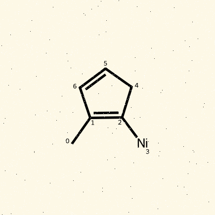 CC1=[C]([Ni])CC=C1